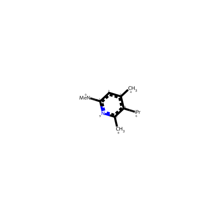 CNc1cc(C)c(C(C)C)c(C)n1